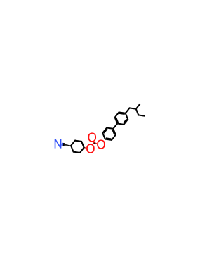 CCC(C)Cc1ccc(-c2ccc(OC(=O)O[C@H]3CC[C@H](C#N)CC3)cc2)cc1